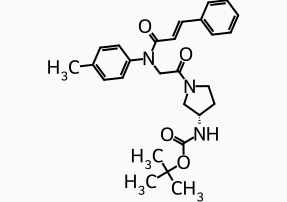 Cc1ccc(N(CC(=O)N2CC[C@H](NC(=O)OC(C)(C)C)C2)C(=O)/C=C/c2ccccc2)cc1